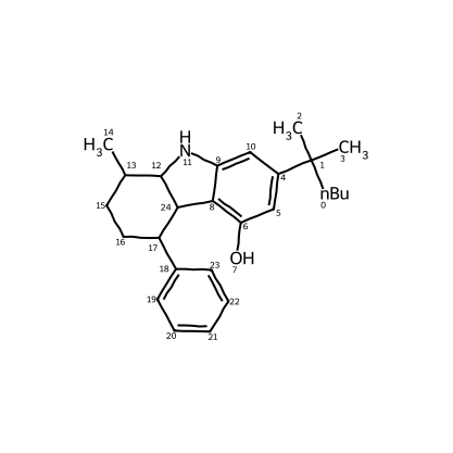 CCCCC(C)(C)c1cc(O)c2c(c1)NC1C(C)CCC(c3ccccc3)C21